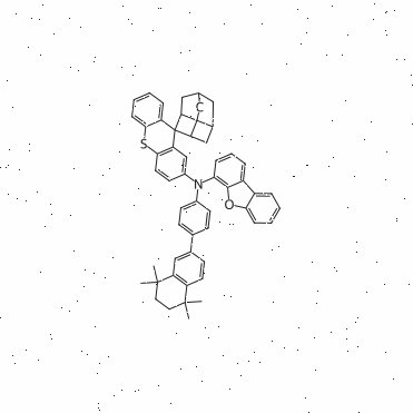 CC1(C)CCC(C)(C)c2cc(-c3ccc(N(c4ccc5c(c4)C4(c6ccccc6S5)C5CC6CC7CC4C75C6)c4cccc5c4oc4ccccc45)cc3)ccc21